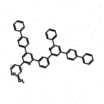 C=C/C=C(\C=C/C)c1cc(-c2ccc(-c3ccccc3)cc2)cc(-c2cccc(-c3cc(-c4ccc(-c5ccccc5)cc4)cc(-c4ccccc4)n3)c2)n1